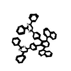 c1ccc(-c2cc(-c3ccc(-c4c(-c5cccc6ccccc56)ccc(-c5cccc6ccccc56)c4-c4ccc(-c5cc(-c6ccccc6)nc(-c6ccccc6)n5)cc4)cc3)nc(-c3ccccc3)n2)cc1